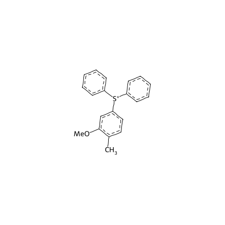 COc1cc([S+](c2ccccc2)c2ccccc2)ccc1C